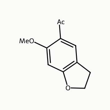 COc1cc2c(cc1C(C)=O)CCO2